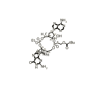 CCOP1(=O)OC[C@@]2(C)C[C@@H](n3cnc4c(N)ncnc43)[C@H](O)[C@@H]2OP(=O)(SCOC(=O)C(C)(C)C)OC[C@H]2O[C@@H](n3cnc4c(=O)[nH]c(N)nc43)[C@H](O1)[C@@H]2OC